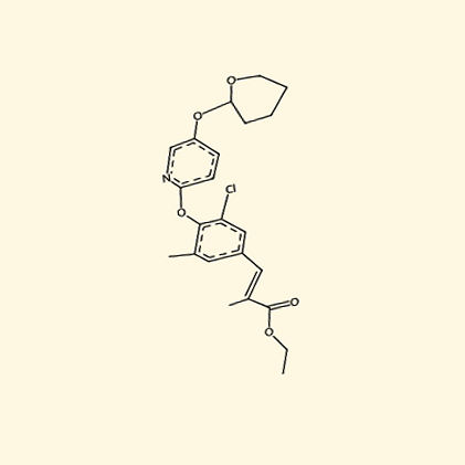 CCOC(=O)/C(C)=C/c1cc(C)c(Oc2ccc(OC3CCCCO3)cn2)c(Cl)c1